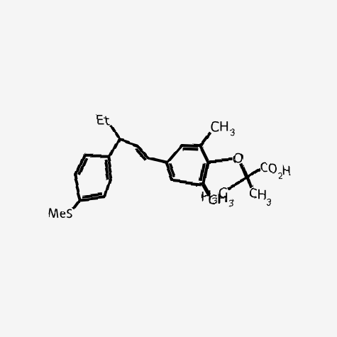 CCC(/C=C/c1cc(C)c(OC(C)(C)C(=O)O)c(C)c1)c1ccc(SC)cc1